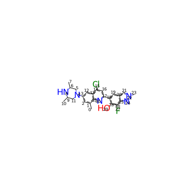 Cc1cc(N2CC(C)NC(C)C2)cc2c(Cl)cc(-c3cc4cn(C)nc4c(F)c3O)nc12